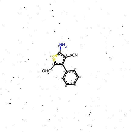 N#Cc1c(N)sc(C=O)c1-c1ccccc1